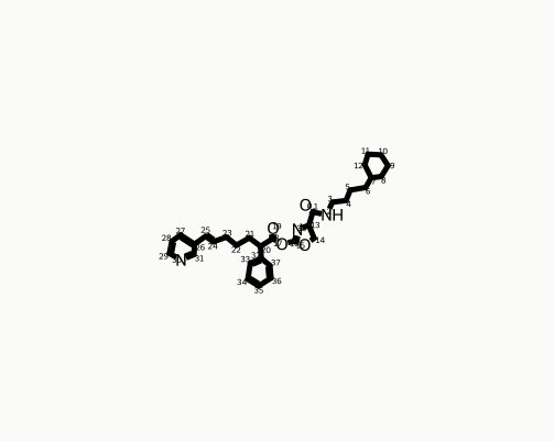 O=C(NCCCCC1CCCCC1)C1COC(OC(=O)C(CCCC=Cc2cccnc2)c2ccccc2)=N1